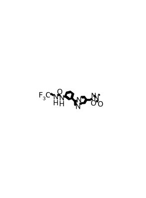 Cn1nc(-c2ccn3c(-c4cccc(NC(=O)NCC(F)(F)F)c4)cnc3c2)oc1=O